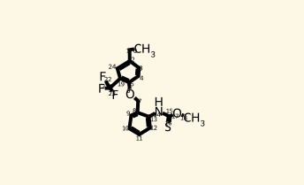 CCc1ccc(OCc2ccccc2NC(=S)OC)c(C(F)(F)F)c1